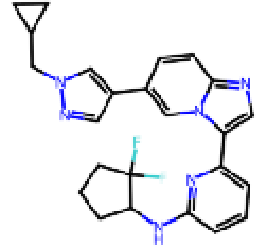 FC1(F)CCCC1Nc1cccc(-c2cnc3ccc(-c4cnn(CC5CC5)c4)cn23)n1